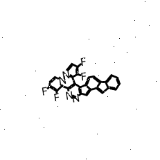 Fc1ccnc(-c2nnc3c(c2-c2nccc(F)c2F)-c2ccc4c(c2=C3)=Cc2ccccc2-4)c1F